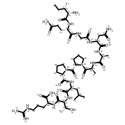 CC[C@H](C)[C@H](N)C(=O)N[C@@H](CCC(N)=O)C(=O)NCC(=O)N[C@@H](CC(N)=O)C(=O)N[C@@H](C)C(=O)N[C@@H](C)C(=O)N1CCC[C@H]1C(=O)N1CCC[C@H]1C(=O)N[C@@H](CC(C)C)C(=O)N[C@H](C(=O)N[C@@H](CCCNC(=N)N)C(=O)O)[C@@H](C)O